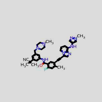 Cc1cc(F)c(C(=O)Nc2cc(CN3CCN(C)CC3)cc(C(C)(C)C#N)c2)cc1C#Cc1cnc2c(Nc3cnn(C)c3)cccn12